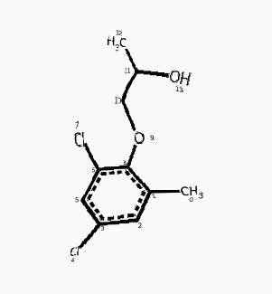 Cc1cc(Cl)cc(Cl)c1OCC(C)O